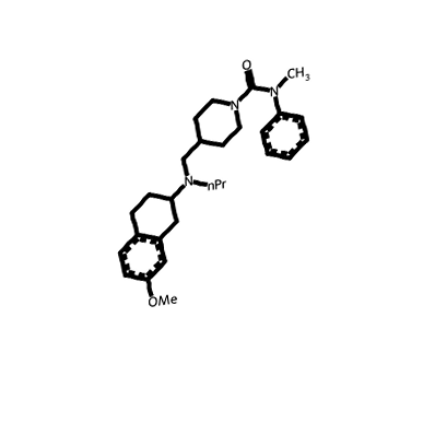 CCCN(CC1CCN(C(=O)N(C)c2ccccc2)CC1)C1CCc2ccc(OC)cc2C1